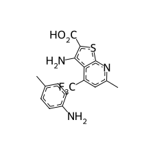 Cc1cc(C(F)(F)F)c2c(N)c(C(=O)O)sc2n1.Cc1ccc(N)cc1